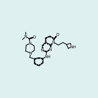 CN(C)C(=O)N1CCN(Cc2cccc(Nc3ncc4ccc(=O)n(CCC5CNC5)c4n3)c2)CC1